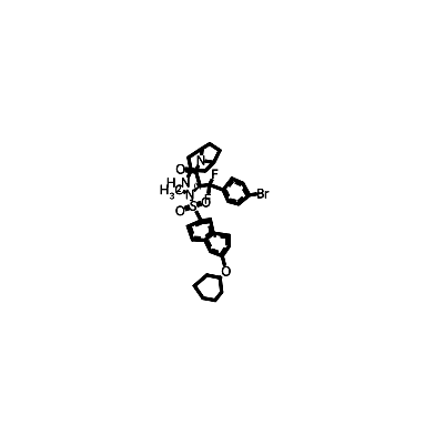 CN([C@@H](C(=O)N1C2CCC1CC(N)C2)C(F)(F)c1ccc(Br)cc1)S(=O)(=O)c1ccc2cc(OC3CCCCC3)ccc2c1